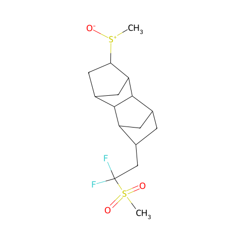 C[S+]([O-])C1CC2CC1C1C3CC(CC(F)(F)S(C)(=O)=O)C(C3)C21